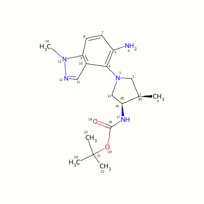 C[C@@H]1CN(c2c(N)ccc3c2cnn3C)C[C@@H]1NC(=O)OC(C)(C)C